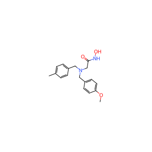 COc1ccc(CN(CC(=O)NO)Cc2ccc(C)cc2)cc1